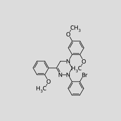 COc1ccc(OC)c(N2CC(c3ccccc3OC)=NN(c3ccccc3Br)C2)c1